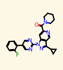 O=C(c1cc2c(cn1)c(C1CC1)nn2-c1ncc(-c2ccccc2F)cn1)N1CCCCC1